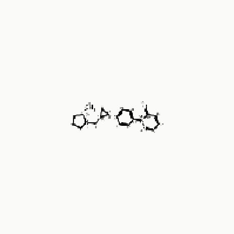 C[C@H]1CCCN1C[C@H]1C[C@@H]1c1ccc(-n2ncccc2=O)cc1